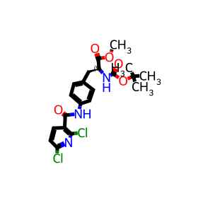 COC(=O)[C@H](Cc1ccc(NC(=O)c2ccc(Cl)nc2Cl)cc1)NC(=O)OC(C)(C)C